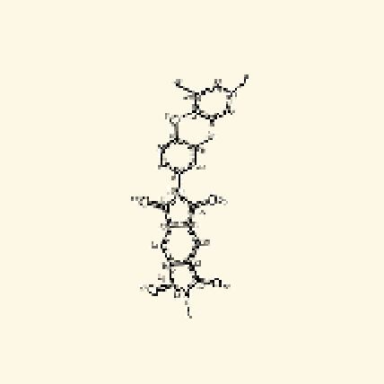 Cc1ccc(Oc2ccc(-n3c(=O)c4cc5c(=O)n(C)c(=O)c5cc4c3=O)cc2C)c(C)c1